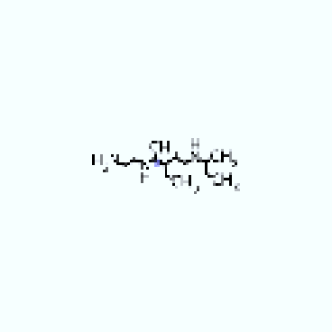 CC/C(CCNC(C)CC)=C(/C)NCCN